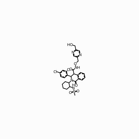 CS(=O)(=O)NC1CCCCC1N1C(=O)c2ccccc2C(C(=O)NOCc2cnc(CO)cn2)C1c1ccc(Cl)cc1Cl